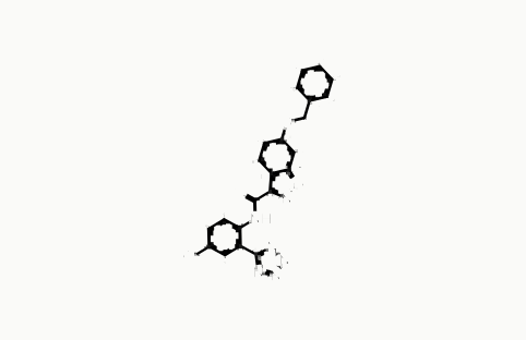 O=C(Nc1ccc(Cl)cc1-c1nnn[nH]1)c1noc2cc(OCc3ccccc3)ccc12